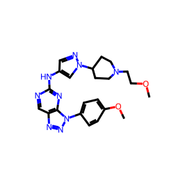 COCCN1CCC(n2cc(Nc3ncc4nnn(-c5ccc(OC)cc5)c4n3)cn2)CC1